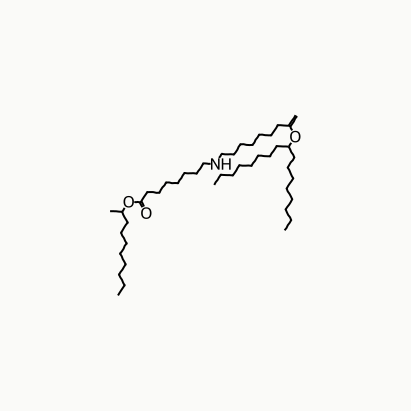 C=C(CCCCCCCNCCCCCCCC(=O)OC(C)CCCCCCCC)OC(CCCCCCCC)CCCCCCCC